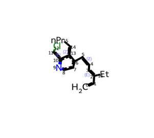 C=C/C(=C/C=C\c1ccnc(=C/Cl)/c1=C\CCC)CC